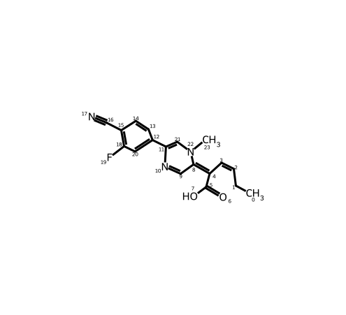 CC/C=C\C(C(=O)O)=C1\C=NC(c2ccc(C#N)c(F)c2)=CN1C